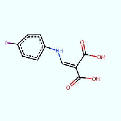 O=C(O)C(=CNc1ccc(I)cc1)C(=O)O